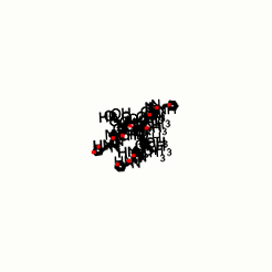 CC1(O)C(COP(=O)(O)OC2(C)C(COP(=O)(O)OC3(C)C(CO[PH](=O)O)OC(C)(n4cnc5c(NCc6ccccc6)ncnc54)C3(C)O)OC(C)(n3cnc4c(NCc5ccccc5)ncnc43)C2(C)O)OC(C)(N2CNc3c(NCc4ccccc4)ncnc32)C1(C)O